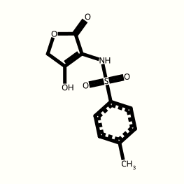 Cc1ccc(S(=O)(=O)NC2=C(O)COC2=O)cc1